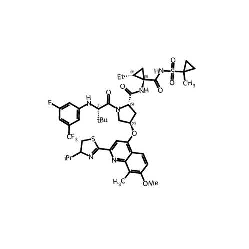 CC[C@@H]1C[C@]1(NC(=O)[C@@H]1C[C@@H](Oc2cc(C3=NC(C(C)C)CS3)nc3c(C)c(OC)ccc23)CN1C(=O)[C@@H](Nc1cc(F)cc(C(F)(F)F)c1)C(C)(C)C)C(=O)NS(=O)(=O)C1(C)CC1